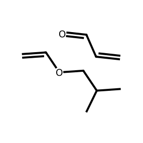 C=CC=O.C=COCC(C)C